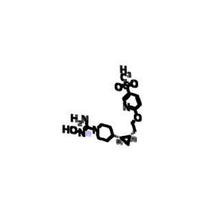 CS(=O)(=O)c1ccc(OCC[C@@H]2C[C@@H]2C2CCN(/C(N)=N/O)CC2)nc1